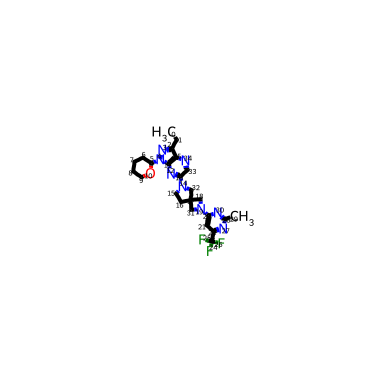 CCc1nn(C2CCCCO2)c2nc(N3CCC4(CN(c5cc(C(F)(F)F)nc(C)n5)C4)C3)cnc12